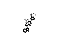 COc1cccc(-c2cnc3c(-c4csc5ccccc45)cnn3c2N)c1